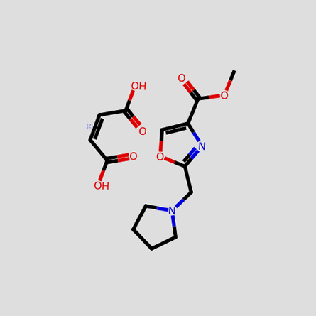 COC(=O)c1coc(CN2CCCC2)n1.O=C(O)/C=C\C(=O)O